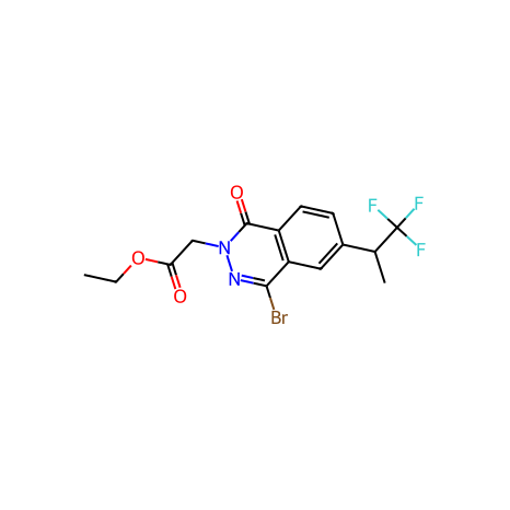 CCOC(=O)Cn1nc(Br)c2cc(C(C)C(F)(F)F)ccc2c1=O